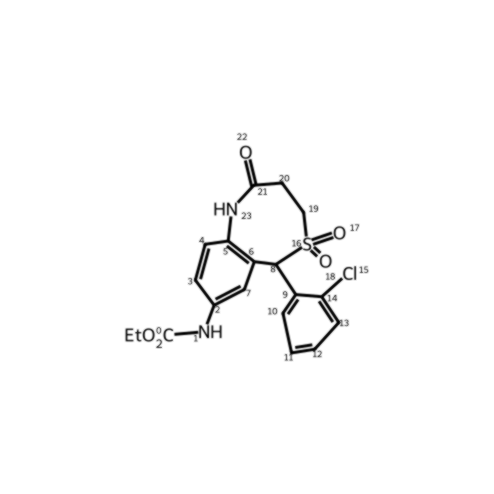 CCOC(=O)Nc1ccc2c(c1)C(c1ccccc1Cl)S(=O)(=O)CCC(=O)N2